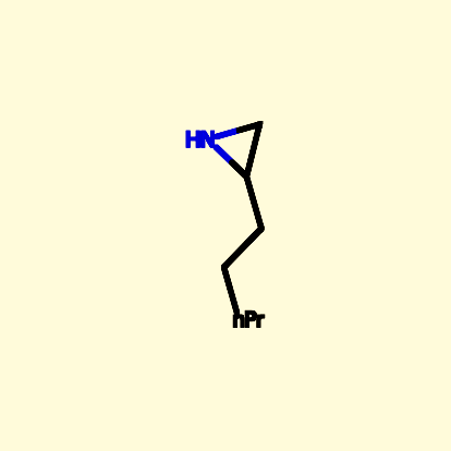 CCCCCC1CN1